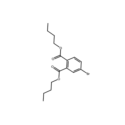 CCCCOC(=O)c1ccc(Br)cc1C(=O)OCCCC